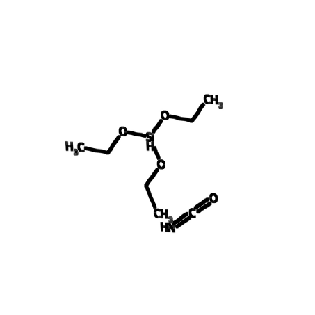 CCO[SiH](OCC)OCC.N=C=O